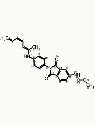 C=C/C=C\C=C(/C)Nc1ccc(N2C(=O)c3ccc(NOOC)cc3C2=O)cc1